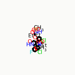 CCC(=O)N1C(=O)[C@@]2(c3ccc(Cl)cc31)[C@@H](c1cc(Cl)ccc1OC(CC)(CC)C(=O)NS(C)(=O)=O)CC(=O)N[C@@H]2c1cc(F)ccc1C